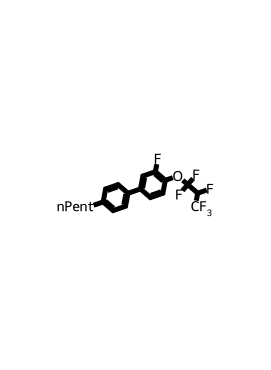 CCCCCc1ccc(-c2ccc(OC(F)(F)C(F)C(F)(F)F)c(F)c2)cc1